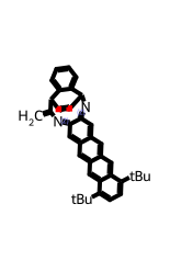 C=C1/N=c2/cc3cc4cc5c(C(C)(C)C)ccc(C(C)(C)C)c5cc4cc3c/c2=N/C2c3ccccc3C1c1ccccc12